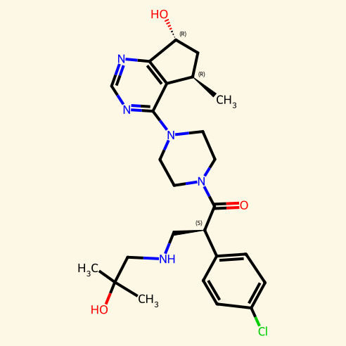 C[C@@H]1C[C@@H](O)c2ncnc(N3CCN(C(=O)[C@H](CNCC(C)(C)O)c4ccc(Cl)cc4)CC3)c21